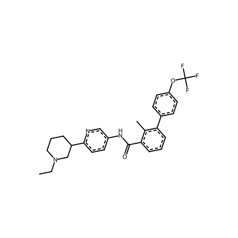 CCN1CCCC(c2ccc(NC(=O)c3cccc(-c4ccc(OC(F)(F)F)cc4)c3C)cn2)C1